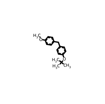 COc1ccc(Cc2ccc(OC(C)(C)C)cc2)cc1